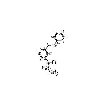 NNC(=O)c1ccnc(CCc2ccccc2)c1